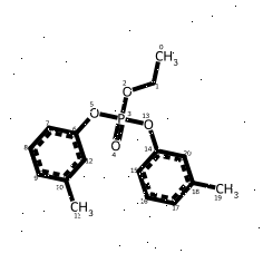 CCOP(=O)(Oc1cccc(C)c1)Oc1cccc(C)c1